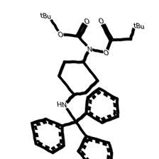 CC(C)(C)CC(=O)ON(C(=O)OC(C)(C)C)C1CCC(NC(c2ccccc2)(c2ccccc2)c2ccccc2)CC1